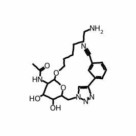 CC(=O)NC1C(OCCCCCCN)OC(Cn2cc(-c3cccc(C#N)c3)nn2)C(O)C1O